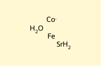 O.[Co].[Fe].[SrH2]